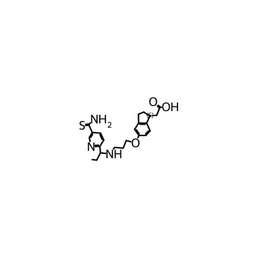 CCC(NCCCOc1ccc2c(c1)CC[C@H]2CC(=O)O)c1ccc(C(N)=S)cn1